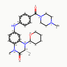 CC(C)N1CCN(C(=O)c2ccc(Nc3ccc4c(c3)N(C3CCCCO3)[C@H](C)C(=O)N4C)cc2)CC1